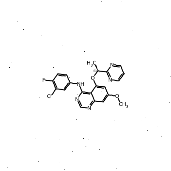 COc1cc(O[C@@H](C)c2ncccn2)c2c(Nc3ccc(F)c(Cl)c3)ncnc2c1